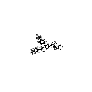 CC(C)(C)OC(=O)N1CCC(NC(=O)c2ccc(C(F)(F)F)cc2)[C@H](c2ccc(C(F)(F)F)cc2)C1